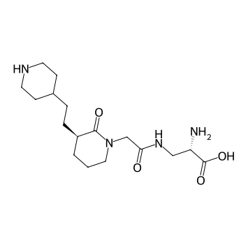 N[C@@H](CNC(=O)CN1CCC[C@@H](CCC2CCNCC2)C1=O)C(=O)O